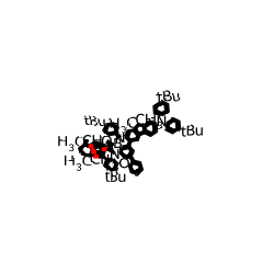 CC(C)(C)c1ccc(N2B3c4oc5cc6c(cc5c4N(c4ccc(C(C)(C)C)cc4-c4ccccc4)c4c3c(cc3c4oc4ccccc43)-c3cc4c(cc32)C(C)(C)c2cc(N(c3ccc(C(C)(C)C)cc3)c3ccc(C(C)(C)C)cc3)ccc2-4)C(C)(C)CCC6(C)C)cc1